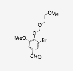 COCCOCOc1c(Br)cc(C=O)cc1OC